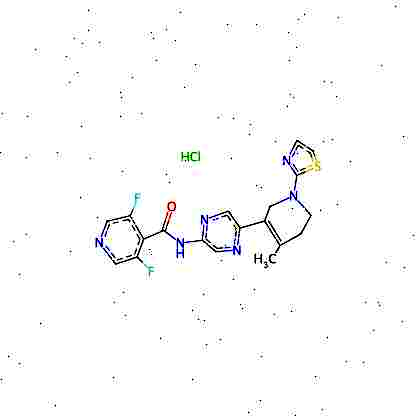 CC1=C(c2cnc(NC(=O)c3c(F)cncc3F)cn2)CN(c2nccs2)CC1.Cl